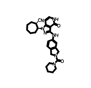 N#C[C@H]1CCCCC[C@@H]1n1nc(Nc2ccc3c(c2)CN(C(=O)N2CCCCC2)C3)c2c(=O)[nH]ccc21